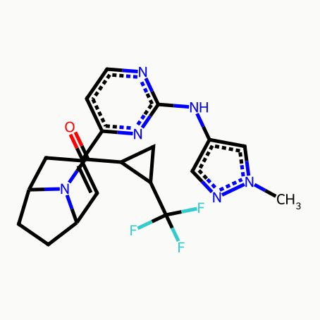 Cn1cc(Nc2nccc(C3=CC4CCC(C3)N4C(=O)C3CC3C(F)(F)F)n2)cn1